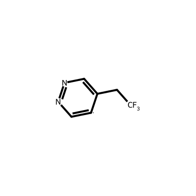 FC(F)(F)Cc1[c]cnnc1